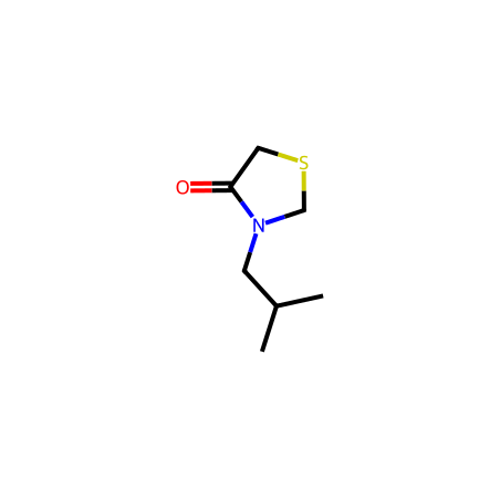 CC(C)CN1CSCC1=O